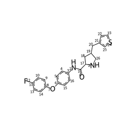 O=C(Nc1ccc(Oc2ccc(F)cc2)cc1)C1CC(Cc2ccsc2)CN1